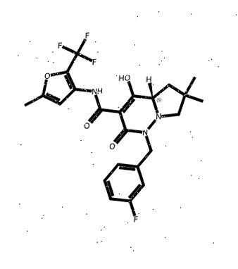 Cc1cc(NC(=O)C2=C(O)[C@@H]3CC(C)(C)CN3N(Cc3cccc(F)c3)C2=O)c(C(F)(F)F)o1